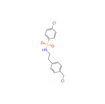 O=S(=O)(NCCc1ccc(CCl)cc1)c1ccc(Cl)cc1